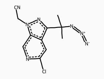 CC(C)(N=[N+]=[N-])c1nn(CC#N)c2cnc(Cl)cc12